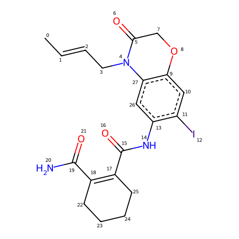 CC=CCN1C(=O)COc2cc(I)c(NC(=O)C3=C(C(N)=O)CCCC3)cc21